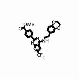 COC(=O)c1ccc(-c2nc(NCCc3ccc4c(c3)OCCO4)c3cc(C(F)(F)F)sc3n2)cc1